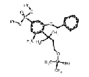 Cc1cc(P(=O)(OC(C)C)OC(C)C)cc(OCc2ccccc2)c1C(C)(C)CCO[Si](C)(C)C(C)(C)C